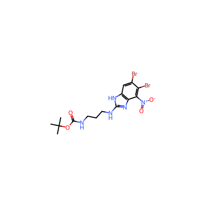 CC(C)(C)OC(=O)NCCCNc1nc2c([N+](=O)[O-])c(Br)c(Br)cc2[nH]1